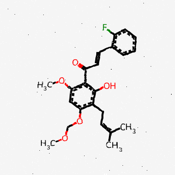 COCOc1cc(OC)c(C(=O)/C=C/c2ccccc2F)c(O)c1CC=C(C)C